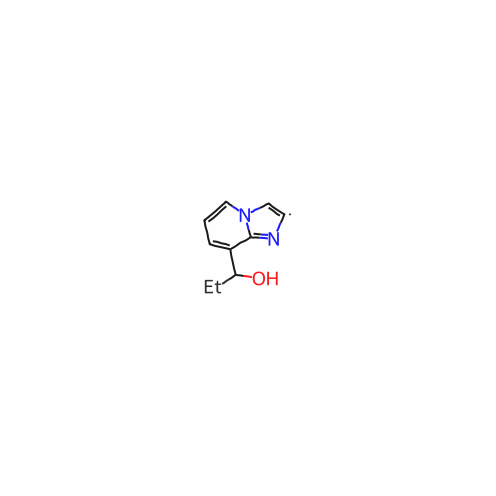 CCC(O)c1cccn2c[c]nc12